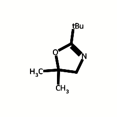 CC1(C)CN=C(C(C)(C)C)O1